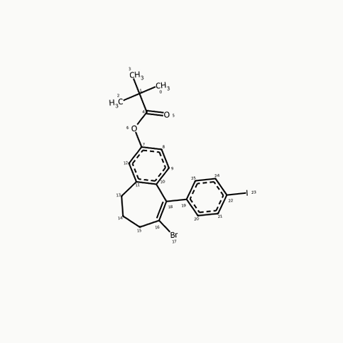 CC(C)(C)C(=O)Oc1ccc2c(c1)CCCC(Br)=C2c1ccc(I)cc1